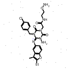 CCc1oc2ccc(/N=c3\n(N)c(=O)n(CC(=O)NCCON)c(=O)n3Cc3ccc(Cl)cc3)cc2c1C